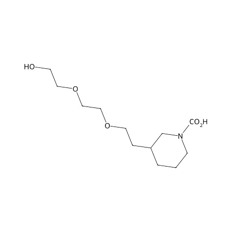 O=C(O)N1CCCC(CCOCCOCCO)C1